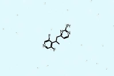 CC(C)c1nccc(CC(C)c2c(F)cncc2F)n1